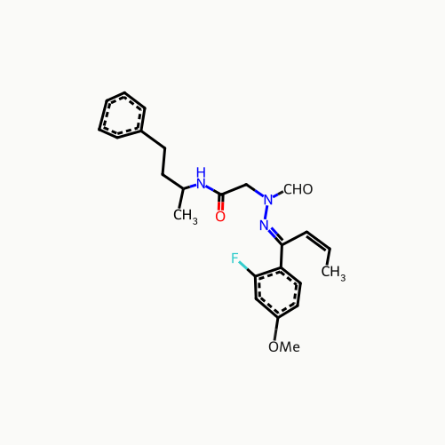 C/C=C\C(=N/N(C=O)CC(=O)NC(C)CCc1ccccc1)c1ccc(OC)cc1F